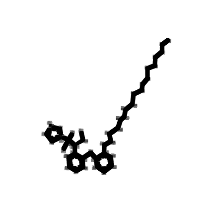 CCCCCCCCCCCCCCCCCCc1ccccc1Cc1ccccc1[C@H](CC)C(C)(C)n1ccnc1